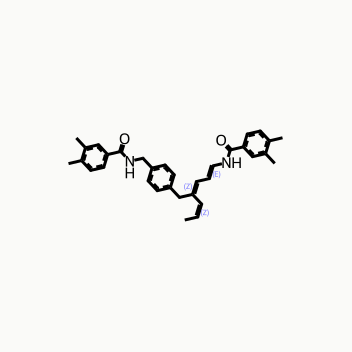 C\C=C/C(=C\C=C\NC(=O)c1ccc(C)c(C)c1)Cc1ccc(CNC(=O)c2ccc(C)c(C)c2)cc1